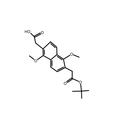 COc1c(CC(=O)O)ccc2c(OC)c(CC(=O)OC(C)(C)C)ccc12